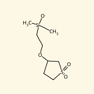 C[Si](C)([O])CCOC1CCS(=O)(=O)C1